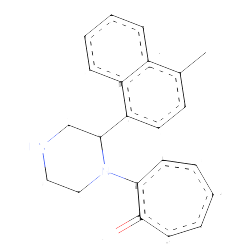 Cc1ccc(C2CNCCN2c2cccccc2=O)c2ccccc12